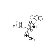 Cn1cc(N(CCNCC(F)F)S(=O)(=O)NC(=O)Cc2c3c(cc4c2CCC4)CCC3)cn1